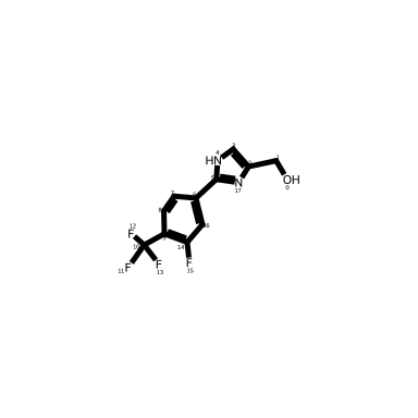 OCc1c[nH]c(-c2ccc(C(F)(F)F)c(F)c2)n1